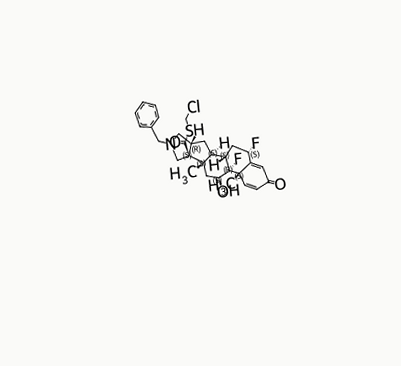 C[C@]12C=CC(=O)C=C1[C@@H](F)C[C@H]1[C@@H]3C[C@H]4CN(Cc5ccccc5)C[C@@]4(C(=O)SCCl)[C@@]3(C)C[C@H](O)[C@@]12F